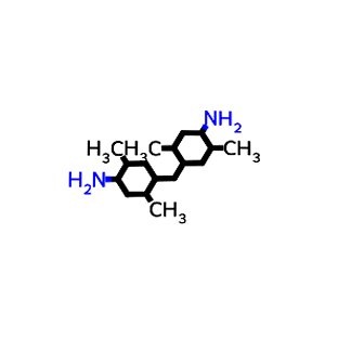 CC1CC(CC2CC(C)C(N)CC2C)C(C)CC1N